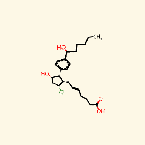 CCCCCC(O)c1ccc([C@@H]2[C@@H](CC=CCCCC(=O)O)[C@H](Cl)C[C@@H]2O)cc1